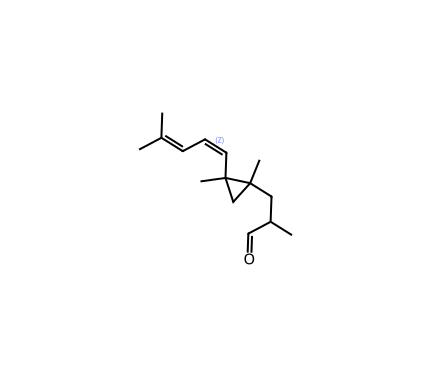 CC(C)=C/C=C\C1(C)CC1(C)CC(C)C=O